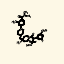 COc1cc(F)cc(C(C(=O)N2CCC(C)(CC3CCN(c4ccc(C(=O)N(C)C)c(C)c4)CC3)CC2)C(F)(F)OC)c1